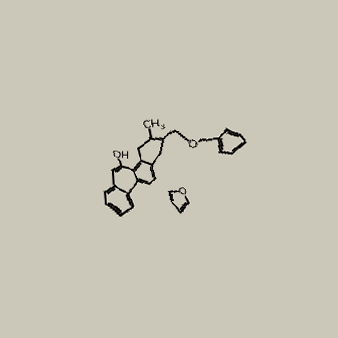 CC1Cc2c(ccc3c2c(O)cc2ccccc23)CC1COCc1ccccc1.c1ccoc1